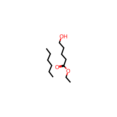 CCCCCC.CCOC(=O)CCCCO